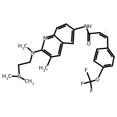 Cc1cc2cc(NC(=O)/C=C\c3ccc(OC(F)(F)F)cc3)ccc2nc1N(C)CCN(C)C